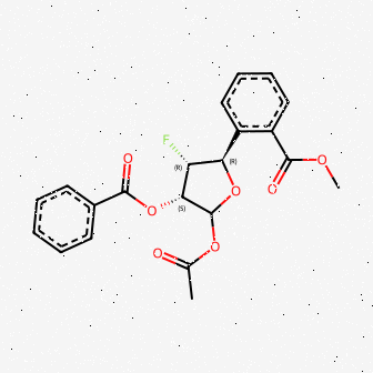 COC(=O)c1ccccc1[C@H]1OC(OC(C)=O)[C@H](OC(=O)c2ccccc2)[C@@H]1F